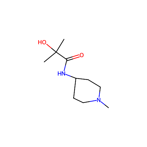 CN1CCC(NC(=O)C(C)(C)O)CC1